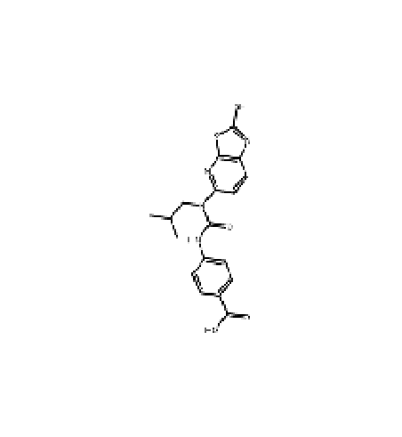 CC(C)CN(C(=O)Nc1ccc(C(=O)O)cc1)c1ccc2nc(S)sc2n1